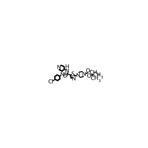 CC(C)(C)OC(=O)N1CCN(c2ncc(C(=O)Nc3ccncc3Nc3ccc(Cl)cc3)s2)CC1